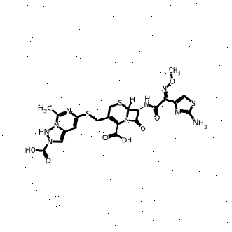 CON=C(C(=O)N[C@@H]1C(=O)N2C(C(=O)O)=C(CSC3=CC4=CN(C(=O)O)NN4C(C)=N3)CS[C@H]12)c1csc(N)n1